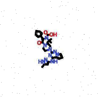 Cc1cc(Nc2nc(N3CCN(C(=O)[C@@H](c4ccccc4)N(C(=O)O)C(C)(C)C)CC3)nn3cccc23)n[nH]1